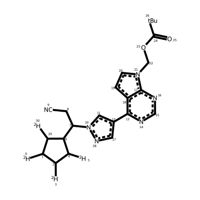 [2H]C1C([2H])C([2H])C(C(CC#N)n2cc(-c3ncnc4c3ccn4COC(=O)C(C)(C)C)cn2)C1[2H]